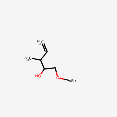 C=CC(C)C(O)COCCCC